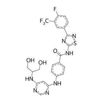 O=C(Nc1nc(-c2ccc(F)c(C(F)(F)F)c2)ns1)c1ccc(Nc2cc(NC(CO)CO)ncn2)cc1